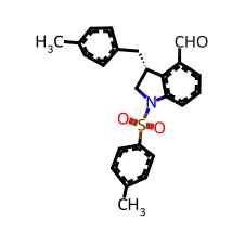 Cc1ccc(C[C@H]2CN(S(=O)(=O)c3ccc(C)cc3)c3cccc(C=O)c32)cc1